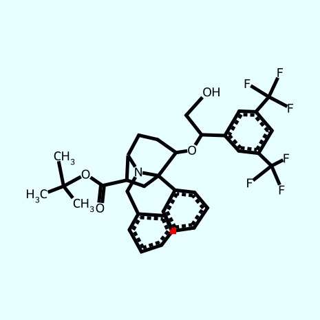 CC(C)(C)OC(=O)C1CC2(c3ccccc3)C(OC(CO)c3cc(C(F)(F)F)cc(C(F)(F)F)c3)CCC1N2Cc1ccccc1